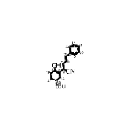 CC1=C(C(C#N)=CC=Cc2ccccc2)CC(C(C)(C)C)CC1